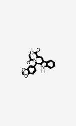 O=C1OCC(=O)N2C1Cc1c([nH]c3ccccc13)C2c1ccc2c(c1)OCO2